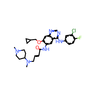 CN1CCC(N(C)CC=CC(=O)Nc2cc3c(Nc4ccc(F)c(Cl)c4)ncnc3cc2OCC2CC2)CC1